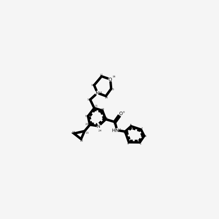 O=C(Nc1ccccc1)c1cc(CN2CCOCC2)cc(C2CC2)n1